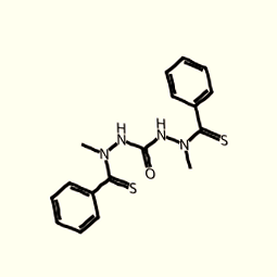 CN(NC(=O)NN(C)C(=S)c1ccccc1)C(=S)c1ccccc1